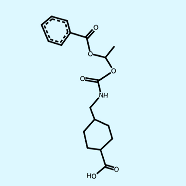 CC(OC(=O)NCC1CCC(C(=O)O)CC1)OC(=O)c1ccccc1